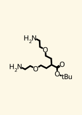 CC(C)(C)OC(=O)C(CCOCCN)CCOCCN